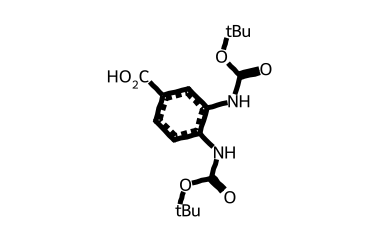 CC(C)(C)OC(=O)Nc1ccc(C(=O)O)cc1NC(=O)OC(C)(C)C